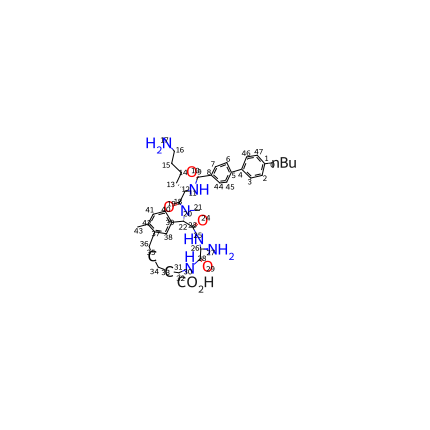 CCCCc1ccc(-c2ccc(C(=O)N[C@@H](CCCCN)C(=O)N(C)[C@@H]3C(=O)N[C@@H](N)C(=O)N[C@H](C(=O)O)CCCCc4cc3ccc4C)cc2)cc1